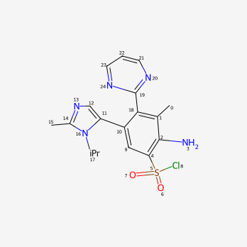 Cc1c(N)c(S(=O)(=O)Cl)cc(-c2cnc(C)n2C(C)C)c1-c1ncccn1